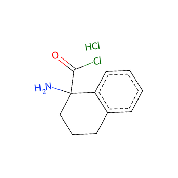 Cl.NC1(C(=O)Cl)CCCc2ccccc21